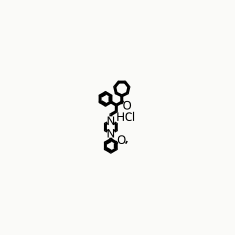 COc1ccccc1N1CCN(CCC(C(=O)C2CCCCCC2)c2ccccc2)CC1.Cl